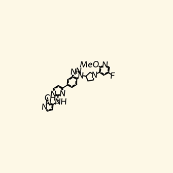 COc1ncc(F)cc1N1CCC(n2nnc3cc(-c4ccnc(Nc5ccnn5C)n4)ccc32)C1